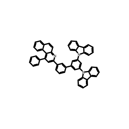 c1ccc(-c2cc(-c3cccc(-c4cc(-n5c6ccccc6c6ccccc65)cc(-n5c6ccccc6c6ccccc65)c4)c3)nc3ccc4ccccc4c23)cc1